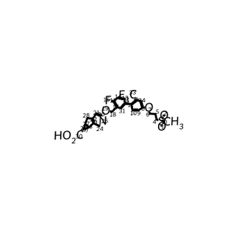 CS(=O)(=O)CCCOc1ccc(-c2ccc(F)c(COc3cc4c(cn3)C3C(C4)[C@@H]3C(=O)O)c2)c(C(F)(F)F)c1